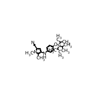 Cc1c(Nc2ccc(O[Si](C(C)C)(C(C)C)C(C)C)cc2)cc(C#N)n1C